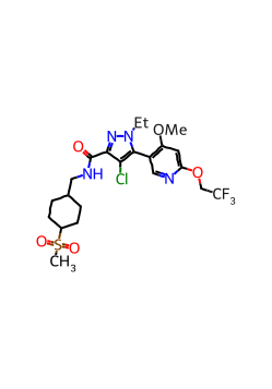 CCn1nc(C(=O)NCC2CCC(S(C)(=O)=O)CC2)c(Cl)c1-c1cnc(OCC(F)(F)F)cc1OC